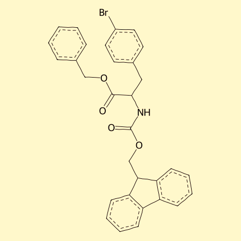 O=C(NC(Cc1ccc(Br)cc1)C(=O)OCc1ccccc1)OCC1c2ccccc2-c2ccccc21